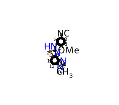 [C-]#[N+]c1ccc(OC)c(Nc2nc3c(ccc4c3ncn4C)s2)c1